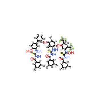 Cc1cc(C)cc(C(=O)NC(=S)N(O)c2ccc(C(F)(F)F)cc2C(F)(F)F)c1.Cc1cc(C)cc(C(=O)NC(=S)Nc2c(O)cc(C)c(Br)c2C)c1.Cc1cc(C)cc(C(=O)NC(=S)Nc2cc(-c3ccccc3)ccc2O)c1